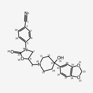 N#Cc1ccc(N2CC(CN3CCC(O)(c4ccc5c(c4)OCO5)CC3)OC2=O)cc1